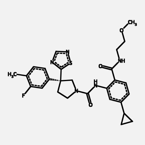 COCCNC(=O)c1ccc(C2CC2)cc1NC(=O)N1CC[C@@](c2ccc(C)c(F)c2)(c2ncns2)C1